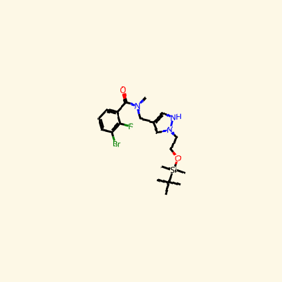 CN(CC1=CNN(CCO[Si](C)(C)C(C)(C)C)C1)C(=O)c1cccc(Br)c1F